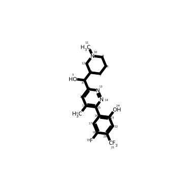 Cc1cc(C(O)C2CCCN(C)C2)nnc1-c1cc(F)c(C(F)(F)F)cc1O